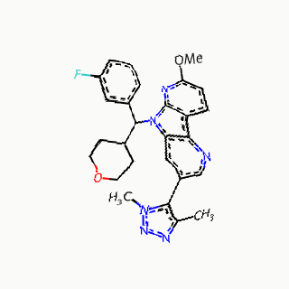 COc1ccc2c3ncc(-c4c(C)nnn4C)cc3n(C(c3cccc(F)c3)C3CCOCC3)c2n1